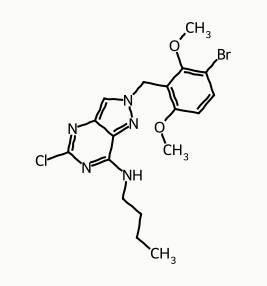 CCCCNc1nc(Cl)nc2cn(Cc3c(OC)ccc(Br)c3OC)nc12